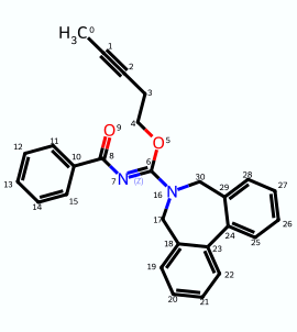 CC#CCCO/C(=N\C(=O)c1ccccc1)N1Cc2ccccc2-c2ccccc2C1